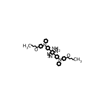 CCCCC(=O)c1ccc(N(c2ccccc2)c2ccc(-c3c(N)c(N=S)c(-c4ccc(N(c5ccccc5)c5ccc(C(=O)CCCC)cc5)cc4)c4nsnc34)cc2)cc1